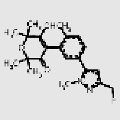 Cc1ccc(-c2cc(CF)nn2C)cc1C1=C(O)C(C)(C)OC(C)(C)C1=O